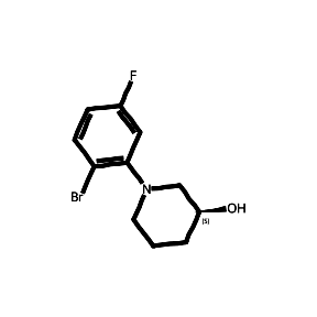 O[C@H]1CCCN(c2cc(F)ccc2Br)C1